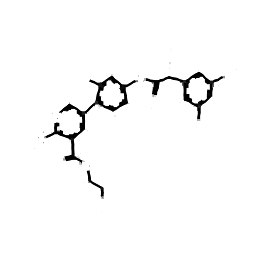 Cc1cc(NC(=O)[C@H](O)c2cc(F)cc(F)c2)ccc1-c1cnc(N)c(C(=O)NCCO)c1